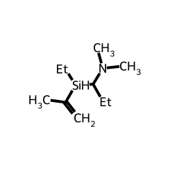 C=C(C)[SiH](CC)C(CC)N(C)C